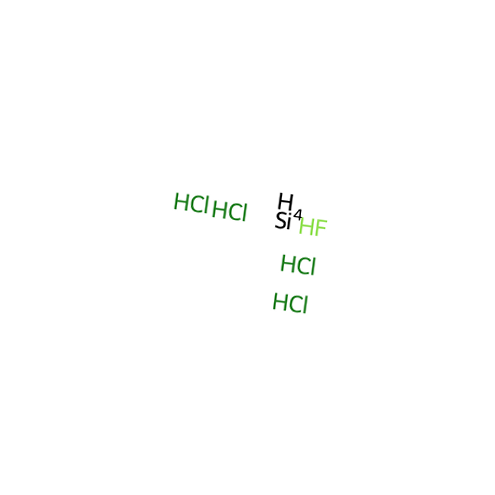 Cl.Cl.Cl.Cl.F.[SiH4]